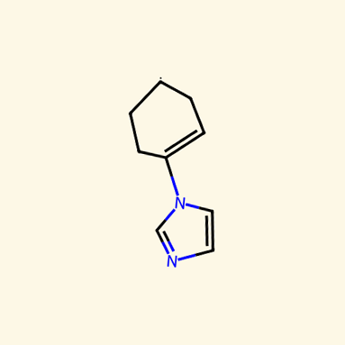 [CH]1CC=C(n2ccnc2)CC1